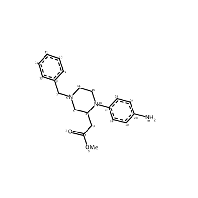 COC(=O)CC1CN(Cc2ccccc2)CCN1c1ccc(N)cc1